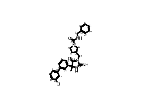 CC1(c2cccc(-c3cccc(Cl)c3)c2)NC(=N)N(CC2CCN(C(=O)NCc3ccccc3)C2)C1=O